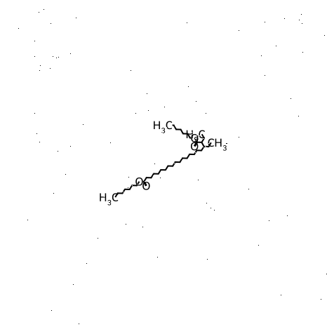 CCCCCCCOC(=O)CCCCCCCCCCCCCCCCC(CC)C(CC)C(=O)OCCCCCCC